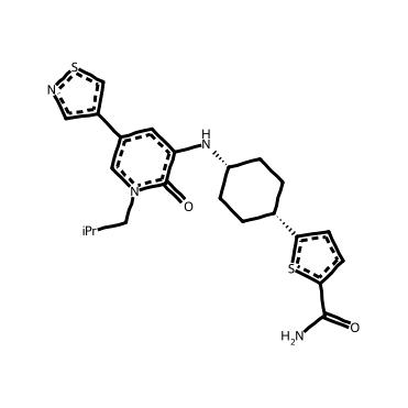 CC(C)Cn1cc(-c2cnsc2)cc(N[C@H]2CC[C@@H](c3ccc(C(N)=O)s3)CC2)c1=O